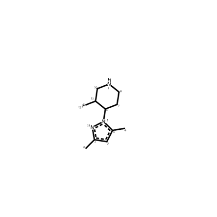 Cc1cc(C)n(C2CCNCC2F)n1